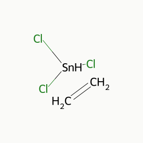 C=C.[Cl][SnH]([Cl])[Cl]